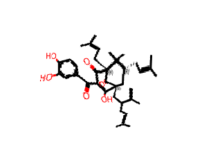 C=C(C)C(CC=C(C)C)C[C@@]12C[C@@H](CC=C(C)C)C(C)(C)[C@@](CC=C(C)C)(C(=O)C(C(=O)c3ccc(O)c(O)c3)=C1O)C2=O